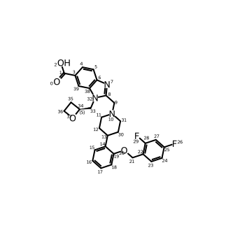 O=C(O)c1ccc2nc(CN3CCC(c4ccccc4OCc4ccc(F)cc4F)CC3)n(C[C@@H]3CCO3)c2c1